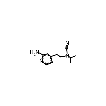 CC(C)N(C#N)CCc1ccnc(N)c1